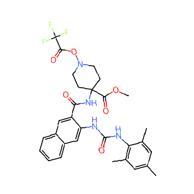 COC(=O)C1(NC(=O)c2cc3ccccc3cc2NC(=O)Nc2c(C)cc(C)cc2C)CCN(OC(=O)C(F)(F)F)CC1